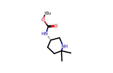 CC1(C)CC[C@H](NC(=O)OC(C)(C)C)CN1